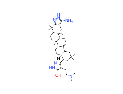 CN(C)CCc1c([C@@H]2CC(C)(C)CC3C4=CCC5[C@@]6(C)Cc7c(n[nH]c7N)C(C)(C)C6CC[C@@]5(C)[C@]4(C)CC[C@@H]32)n[nH]c1O